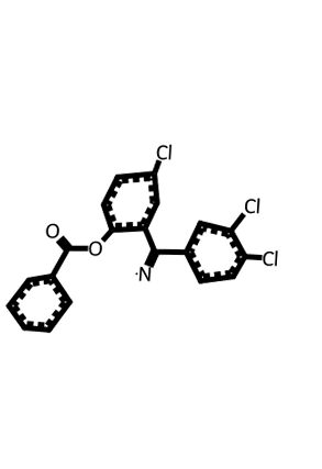 [N]=C(c1ccc(Cl)c(Cl)c1)c1cc(Cl)ccc1OC(=O)c1ccccc1